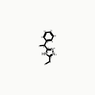 CCc1nnc(C(C)c2ccccc2)[nH]1